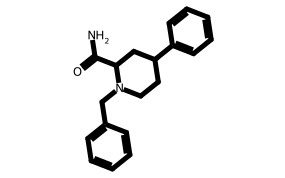 NC(=O)C1C[C](c2ccccc2)CCN1Cc1ccccc1